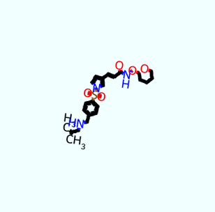 CC(C)CNCc1ccc(S(=O)(=O)n2ccc(C=CC(=O)NOC3CCCCO3)c2)cc1